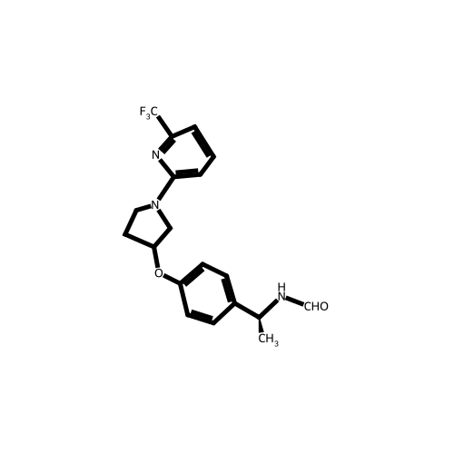 C[C@H](NC=O)c1ccc(OC2CCN(c3cccc(C(F)(F)F)n3)C2)cc1